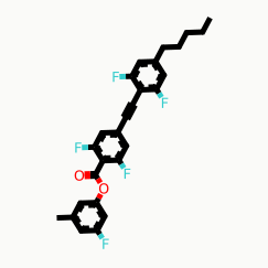 CCCCCc1cc(F)c(C#Cc2cc(F)c(C(=O)Oc3cc(C)cc(F)c3)c(F)c2)c(F)c1